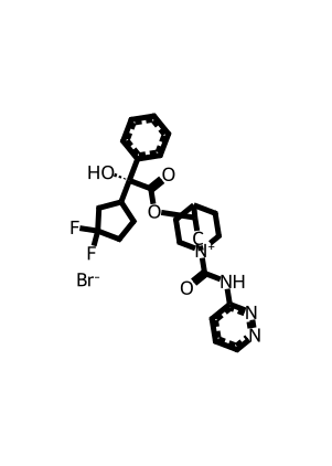 O=C(OC1C[N+]2(C(=O)Nc3cccnn3)CCC1CC2)[C@](O)(c1ccccc1)C1CCC(F)(F)C1.[Br-]